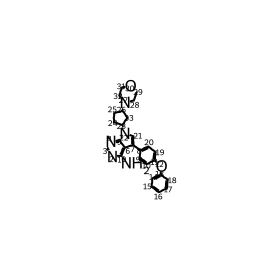 Nc1ncnc2c1c(-c1ccc(Oc3ccccc3)cc1)cn2[C@H]1CC[C@H](N2CCOCC2)C1